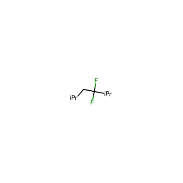 CC(C)CC(F)(F)C(C)C